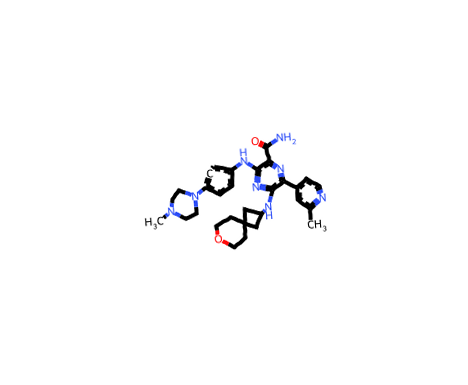 Cc1cc(-c2nc(C(N)=O)c(Nc3ccc(N4CCN(C)CC4)cc3)nc2NC2CC3(CCOCC3)C2)ccn1